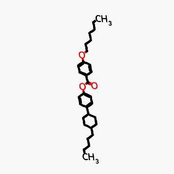 CCCCCCCOc1ccc(C(=O)Oc2ccc(C3CCC(CCCCC)CC3)cc2)cc1